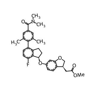 COC(=O)C[C@@H]1COc2cc(O[C@@H]3CCc4c(-c5c(C)cc(C(=O)N(C)C)cc5C)ccc(F)c43)ccc21